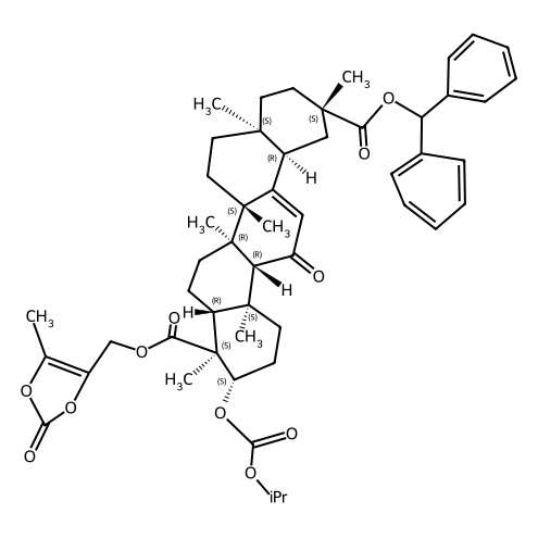 Cc1oc(=O)oc1COC(=O)[C@]1(C)[C@@H](OC(=O)OC(C)C)CC[C@@]2(C)[C@H]1CC[C@]1(C)[C@@H]2C(=O)C=C2[C@@H]3C[C@@](C)(C(=O)OC(c4ccccc4)c4ccccc4)CC[C@]3(C)CC[C@]21C